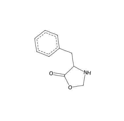 O=C1OCNC1Cc1ccccc1